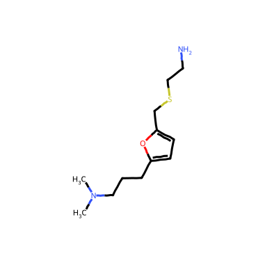 CN(C)CCCc1ccc(CSCCN)o1